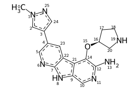 Cn1cc(-c2cnc3[nH]c4cnc(N)c(O[C@H]5CCNC5)c4c3c2)cn1